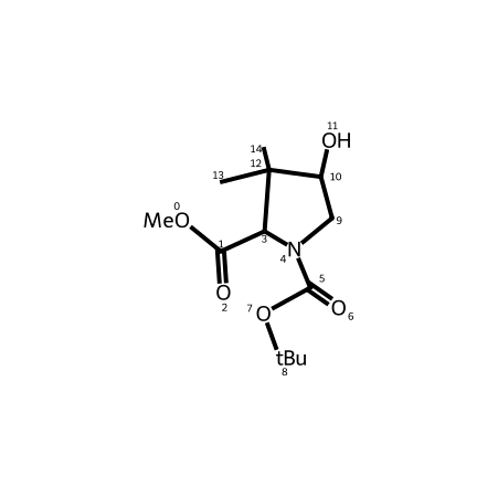 COC(=O)C1N(C(=O)OC(C)(C)C)CC(O)C1(C)C